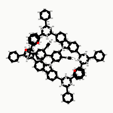 [C-]#[N+]c1cc(-n2c3cc(-c4nc(-c5ccccc5)nc(-c5ccccc5)n4)ccc3c3ccc(-c4nc(-c5ccccc5)nc(-c5ccccc5)n4)cc32)c(-c2ccc(C(F)(F)F)cc2C#N)cc1-n1c2cc(-c3nc(-c4ccccc4)nc(-c4ccccc4)n3)ccc2c2ccc(-c3nc(-c4ccccc4)nc(-c4ccccc4)n3)cc21